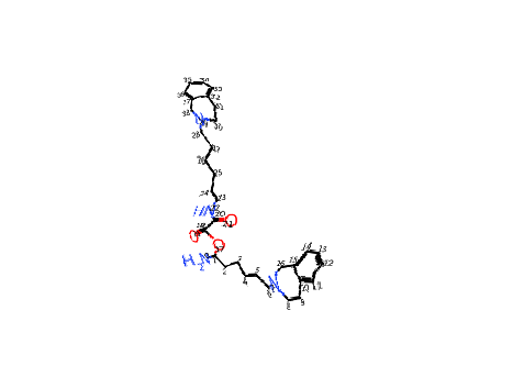 NC(CCCCCN1CCc2ccccc2C1)OC(=O)C(=O)NCCCCCCN1CCc2ccccc2C1